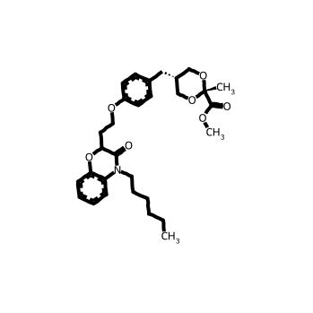 CCCCCCN1C(=O)C(CCOc2ccc(C[C@H]3CO[C@@](C)(C(=O)OC)OC3)cc2)Oc2ccccc21